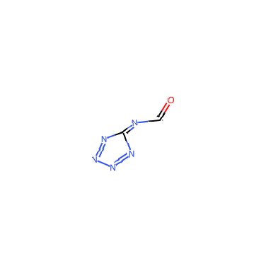 O=[C]N=C1N=NN=N1